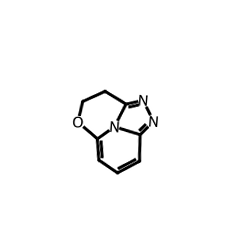 c1cc2n3c(nnc3c1)CCO2